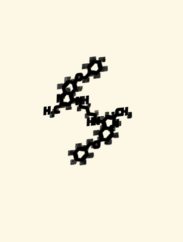 Cc1cc(NCCCCNc2cc(C)nc3ccc(OCc4ccccc4)cc23)c2cc(OCc3ccccc3)ccc2n1